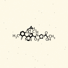 Cc1ccc(OCC2CC2)c(-c2ncnc3c(C(=O)N[C@@H]4CN(C(=O)[C@H](C)O)C[C@@H]4F)c(C)[nH]c23)c1F